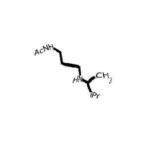 CC(=O)NCCCNC(C)C(C)C